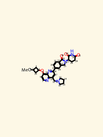 COC1CC(Oc2ccnc3c(CN4CCCC4)cc(-c4ccc5c(c4)CN(C4CCC(=O)NC4=O)C5=O)nc23)C1